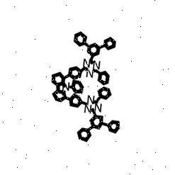 c1ccc(-c2cc(-c3ccccc3)cc(-c3nc(-c4ccccc4)nc(-c4ccc(-c5cccc6c7cccc(-c8ccc(-c9nc(-c%10ccccc%10)nc(-c%10cc(-c%11ccccc%11)cc(-c%11ccccc%11)c%10)n9)cc8)c7n(-c7ccccc7)c56)cc4)n3)c2)cc1